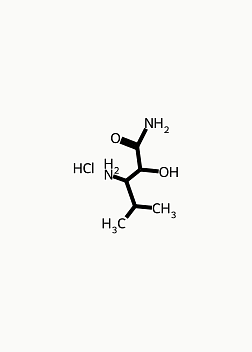 CC(C)C(N)C(O)C(N)=O.Cl